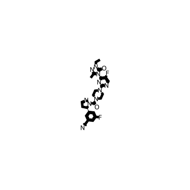 CCn1nc(C)n(-c2nc(N3CCN(C(=O)N4N=CC[C@H]4c4cc(F)cc(C#N)c4)CC3)ncc2F)c1=O